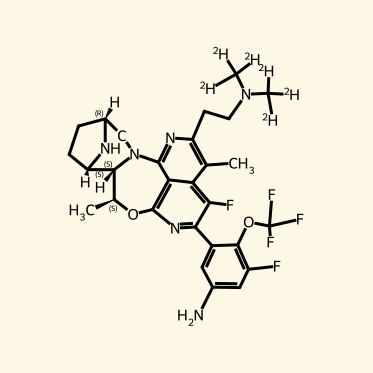 [2H]C([2H])([2H])N(CCc1nc2c3c(nc(-c4cc(N)cc(F)c4OC(F)(F)F)c(F)c3c1C)O[C@@H](C)[C@@H]1[C@@H]3CC[C@H](CN21)N3)C([2H])([2H])[2H]